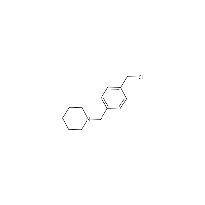 ClCc1ccc(CN2CCCCC2)cc1